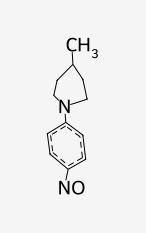 CC1CCN(c2ccc(N=O)cc2)CC1